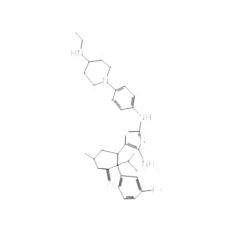 CCNC1CCN(c2ccc(Nc3nc(N)c(C4CC(C)CC(=O)C4(c4cccc(F)c4)C(C)C)s3)cc2)CC1